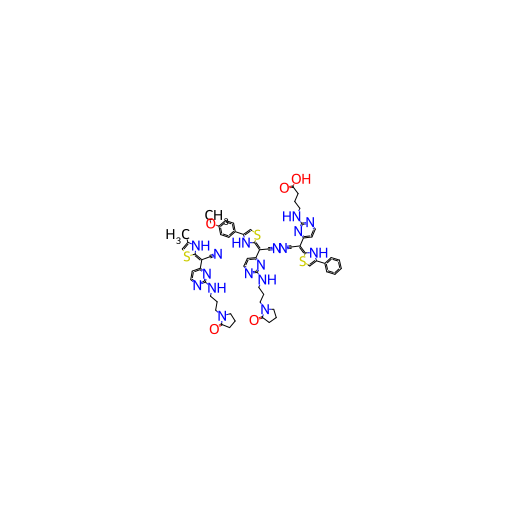 CC1=CSC(=C(C#N)c2ccnc(NCCCN3CCCC3=O)n2)N1.COc1ccc(C2=CSC(=C(C#N)c3ccnc(NCCCN4CCCC4=O)n3)N2)cc1.N#CC(=C1NC(c2ccccc2)=CS1)c1ccnc(NCCCC(=O)O)n1